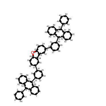 c1ccc(-c2c3ccccc3c(-c3cccc(-c4ccc5oc6ccc(-c7cccc(-c8c9ccccc9c(-c9ccccc9)c9ccccc89)c7)cc6c5c4)c3)c3ccccc23)cc1